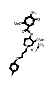 COc1cc(N)c(Cl)cc1C(=O)NC1CCN(CCCOc2ccc(F)cc2)CC1OC.NC(=O)O